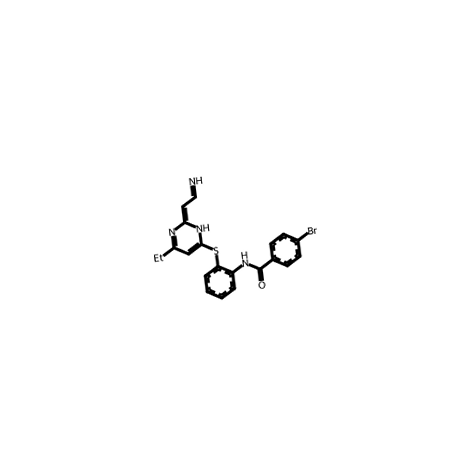 CCC1=N/C(=C/C=N)NC(Sc2ccccc2NC(=O)c2ccc(Br)cc2)=C1